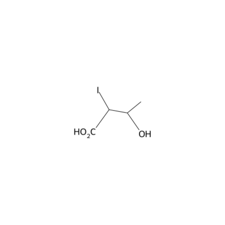 CC(O)C(I)C(=O)O